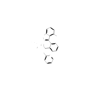 CC(C)(C)[S@+]([O-])N[C@@H](Cc1ccccn1)c1ccccc1-c1noc2cccc(Br)c12